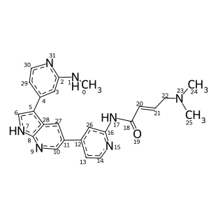 CNc1cc(-c2c[nH]c3ncc(-c4ccnc(NC(=O)C=CCN(C)C)c4)cc23)ccn1